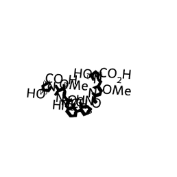 COc1cc(C(=O)Nc2cccc(-c3cccc(NC(=O)c4cc(OC)c(CN5C[C@H](O)C[C@H]5C(=O)O)cn4)c3C)c2C)ncc1CN1C[C@H](O)C[C@H]1C(=O)O